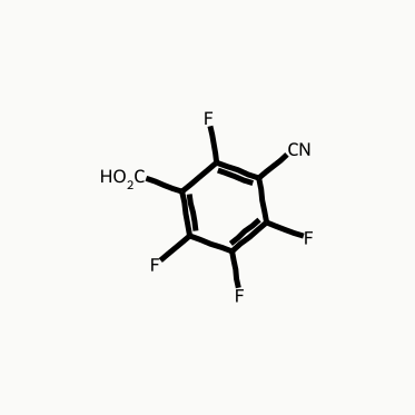 N#Cc1c(F)c(F)c(F)c(C(=O)O)c1F